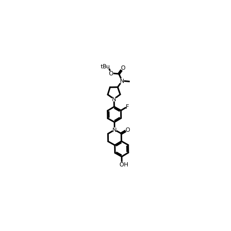 CN(C(=O)OC(C)(C)C)C1CCN(c2ccc(N3CCc4cc(O)ccc4C3=O)cc2F)C1